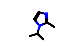 Cc1nccn1C(C)C